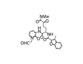 CNC(=O)C(=O)CCC(NC(=O)c1oc2ccccc2c1C)C(=O)Nc1cccn(CC=O)c1=O